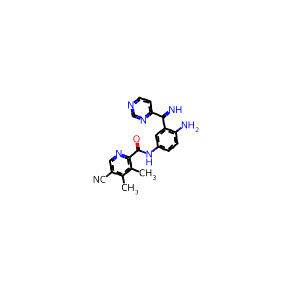 Cc1c(C#N)cnc(C(=O)Nc2ccc(N)c(C(=N)c3ccncn3)c2)c1C